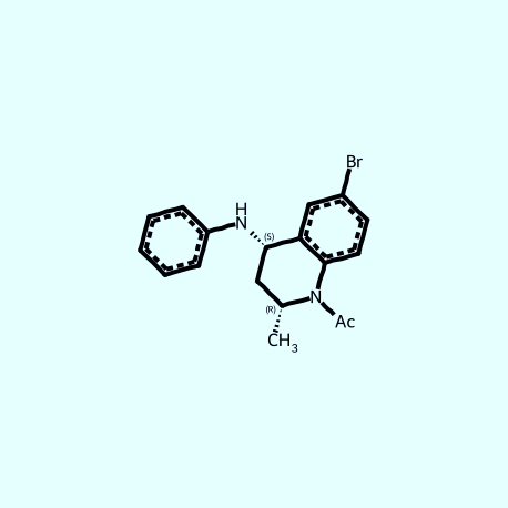 CC(=O)N1c2ccc(Br)cc2[C@@H](Nc2ccccc2)C[C@H]1C